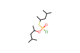 CC(C)CC(C)OP(=O)(Cl)SC(C)CC(C)C